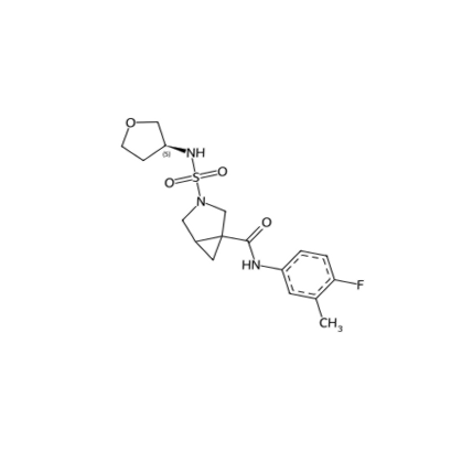 Cc1cc(NC(=O)C23CC2CN(S(=O)(=O)N[C@H]2CCOC2)C3)ccc1F